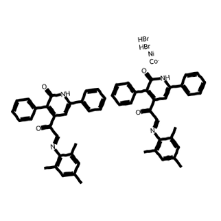 Br.Br.Cc1cc(C)c(N=CC(=O)c2cc(-c3ccccc3)[nH]c(=O)c2-c2ccccc2)c(C)c1.Cc1cc(C)c(N=CC(=O)c2cc(-c3ccccc3)[nH]c(=O)c2-c2ccccc2)c(C)c1.[Co].[Ni]